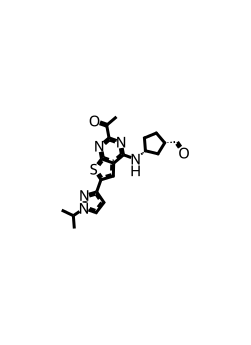 CC(=O)c1nc(N[C@@H]2CC[C@H](C=O)C2)c2cc(-c3ccn(C(C)C)n3)sc2n1